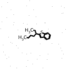 CCCCC(CC)c1cc2ccccc2s1